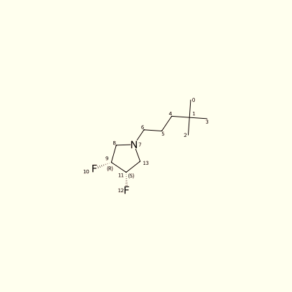 CC(C)(C)CCCN1C[C@@H](F)[C@@H](F)C1